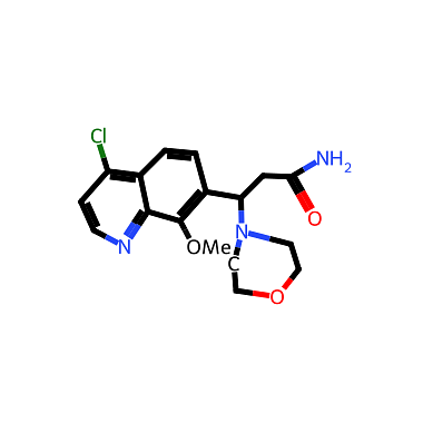 COc1c(C(CC(N)=O)N2CCOCC2)ccc2c(Cl)ccnc12